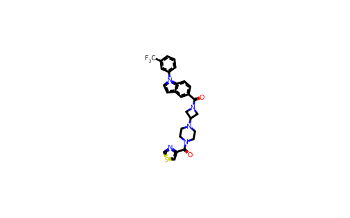 O=C(c1ccc2c(ccn2-c2cccc(C(F)(F)F)c2)c1)N1CC(N2CCN(C(=O)c3cscn3)CC2)C1